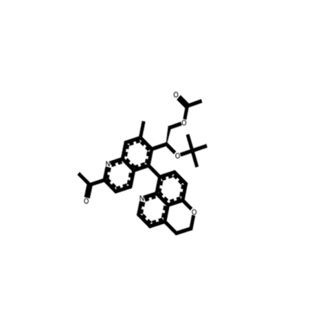 CC(=O)OC[C@@H](OC(C)(C)C)c1c(C)cc2nc(C(C)=O)ccc2c1-c1ccc2c3c(ccnc13)CCO2